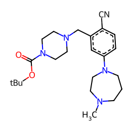 CN1CCCN(c2ccc(C#N)c(CN3CCN(C(=O)OC(C)(C)C)CC3)c2)CC1